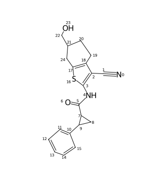 N#Cc1c(NC(=O)C2CC2c2ccccc2)sc2c1CCC(CO)C2